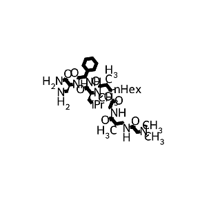 CCCCCC[C@H](OC(=O)CNC(=O)[C@@H](C)CNC(=O)CN(C)C)[C@@H](C)C(=O)N(C)[C@@H](CC(C)C)C(=O)N[C@H](C(=O)N[C@@H](CN)C(N)=O)C1CCCCC1